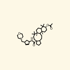 CC(=O)O[C@H]1CC[C@@]2(C)C(CC[C@]3(C)C2CCC2CCC[C@]2(C(=O)NC2C=CC(CN4CCOCC4)C2)CCC3(C)C)C1(C)C